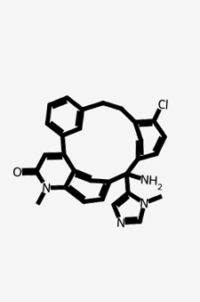 Cn1cncc1C1(N)c2ccc(Cl)c(c2)CCc2cccc(c2)-c2cc(=O)n(C)c3ccc1cc23